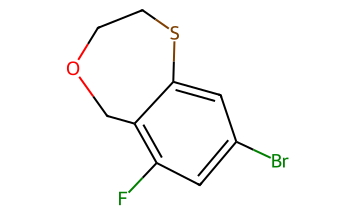 Fc1cc(Br)cc2c1COCCS2